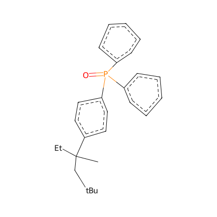 CCC(C)(CC(C)(C)C)c1ccc(P(=O)(c2ccccc2)c2ccccc2)cc1